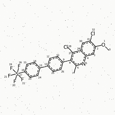 COc1cc2nc(C)c(-c3ccc(-c4ccc(S(F)(F)(F)(F)F)cc4)cc3)c(Cl)c2cc1Cl